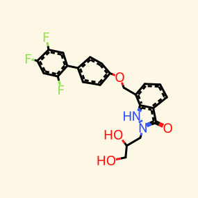 O=c1c2cccc(COc3ccc(-c4cc(F)c(F)cc4F)cc3)c2[nH]n1CC(O)CO